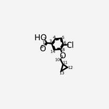 O=C(O)c1ccc(Cl)c(OCC2CC2)c1